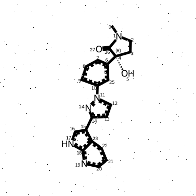 CN1CC[C@@](O)(c2cccc(-n3ccc(-c4c[nH]c5ncccc45)n3)c2)C1=O